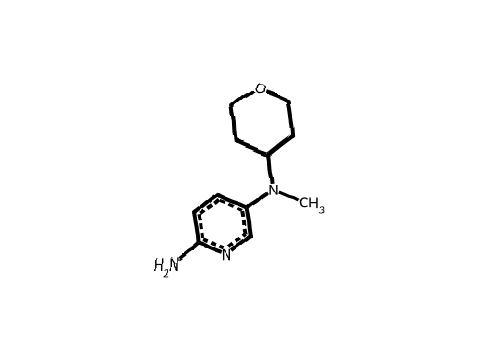 CN(c1ccc(N)nc1)C1CCOCC1